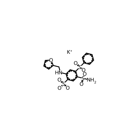 NS(=O)(=O)c1cc(S(=O)(=O)[O-])c(NCc2ccco2)cc1S(=O)(=O)c1ccccc1.[K+]